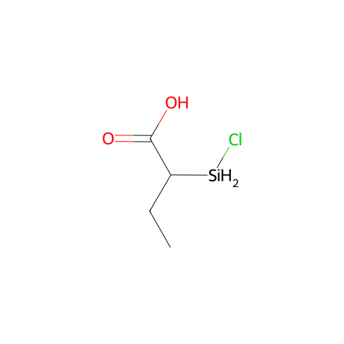 CCC([SiH2]Cl)C(=O)O